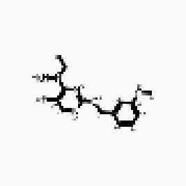 CCN(N)c1nc(OCc2cccc(OC)c2)ncc1F